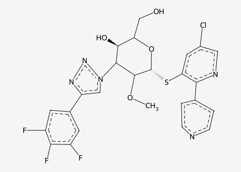 COC1C(n2cc(-c3cc(F)c(F)c(F)c3)nn2)[C@@H](O)C(CO)O[C@@H]1Sc1cc(Cl)cnc1-c1ccncc1